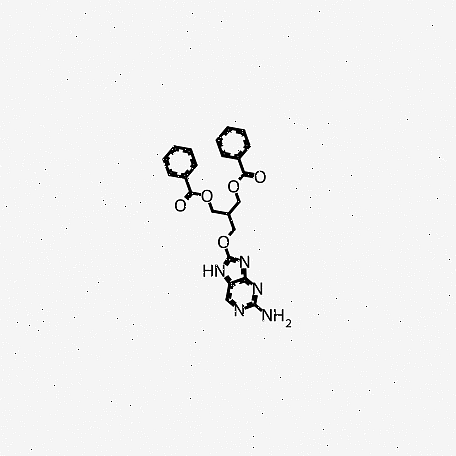 Nc1ncc2[nH]c(OCC(COC(=O)c3ccccc3)COC(=O)c3ccccc3)nc2n1